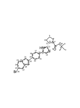 CC(C)(C)OC(=O)N1CCC[C@H]1c1ncc(-c2ccc(-c3cc4ccc(Br)cc4s3)cc2)[nH]1